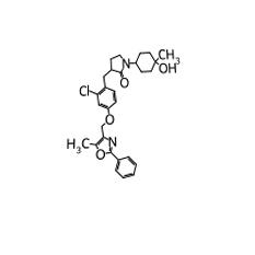 Cc1oc(-c2ccccc2)nc1COc1ccc(CC2CCN(C3CCC(C)(O)CC3)C2=O)c(Cl)c1